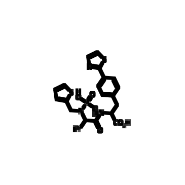 CC(C)C(C(=O)NC(Cc1ccc(-c2nccs2)cc1)C(=O)O)N(Cc1cccs1)P(=O)(O)O